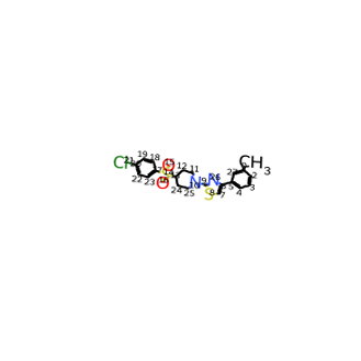 Cc1cccc(-c2csc(N3CCC(S(=O)(=O)c4ccc(Cl)cc4)CC3)n2)c1